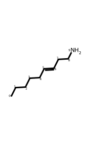 CCCCCC=CCCN